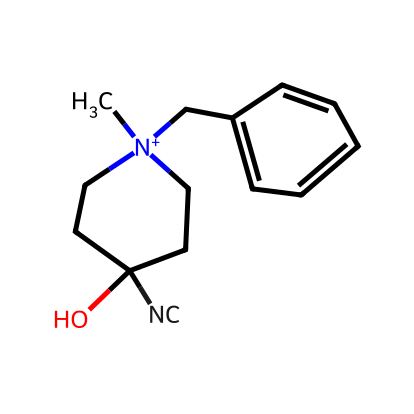 [C-]#[N+]C1(O)CC[N+](C)(Cc2ccccc2)CC1